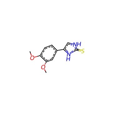 COc1ccc(-c2c[nH]c(=S)[nH]2)cc1OC